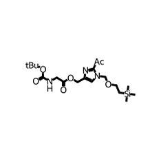 CC(=O)c1nc(COC(=O)CNC(=O)OC(C)(C)C)cn1COCC[Si](C)(C)C